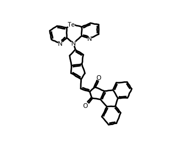 O=C1C(=CC2=CC3=C(C=C(N4c5ncccc5[Te]c5cccnc54)C3)C2)C(=O)c2c1c1ccccc1c1ccccc21